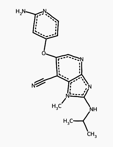 CC(C)Nc1nc2ncc(Oc3ccnc(N)c3)c(C#N)c2n1C